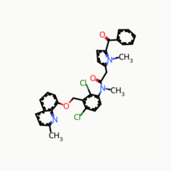 Cc1ccc2cccc(OCc3c(Cl)ccc(N(C)C(=O)Cc4ccc(C(=O)c5ccccc5)n4C)c3Cl)c2n1